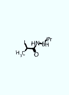 CC(C)BNC(=O)C(C)I